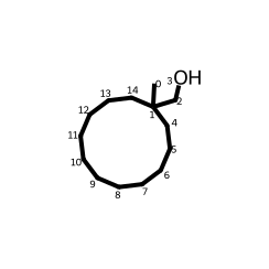 CC1(CO)CCCCCCCCCCC1